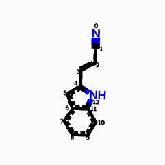 N#CC=Cc1cc2ccccc2[nH]1